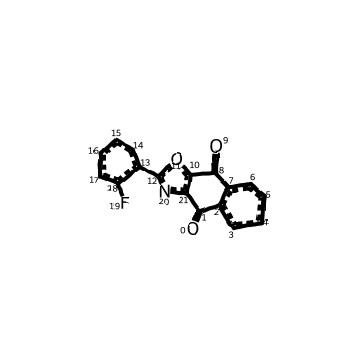 O=C1c2ccccc2C(=O)c2oc(-c3ccccc3F)nc21